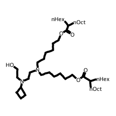 CCCCCCCCC(CCCCCC)C(=O)OCCCCCCN(CCCCCCOC(=O)C(CCCCCC)CCCCCCCC)CCN(CCO)C1CCC1